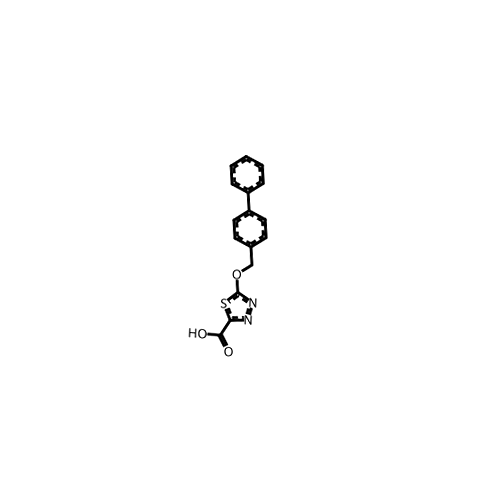 O=C(O)c1nnc(OCc2ccc(-c3ccccc3)cc2)s1